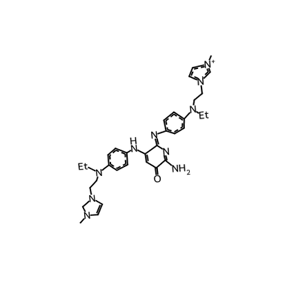 CCN(CCN1C=CN(C)C1)c1ccc(NC2=CC(=O)C(N)=NC2=Nc2ccc(N(CC)CCn3cc[n+](C)c3)cc2)cc1